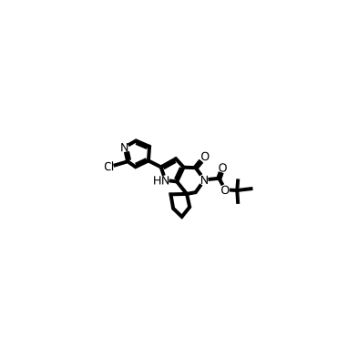 CC(C)(C)OC(=O)N1CC2(CCCC2)c2[nH]c(-c3ccnc(Cl)c3)cc2C1=O